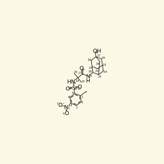 Cc1ccc([N+](=O)[O-])cc1S(=O)(=O)NC(C)(C)C(=O)NC1C2CC3CC1CC(O)(C3)C2